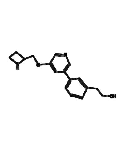 OCCc1cccc(-c2cncc(OCC3CCN3)c2)c1